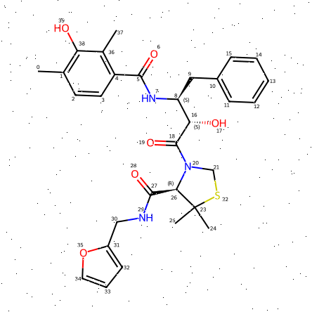 Cc1ccc(C(=O)N[C@@H](Cc2ccccc2)[C@H](O)C(=O)N2CSC(C)(C)[C@H]2C(=O)NCc2ccco2)c(C)c1O